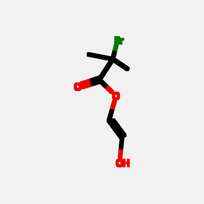 CC(C)(Br)C(=O)OC=CO